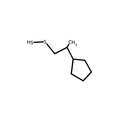 CC(CSS)C1CCCC1